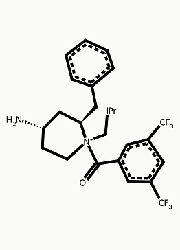 CC(C)C[N+]1(C(=O)c2cc(C(F)(F)F)cc(C(F)(F)F)c2)CC[C@H](N)C[C@H]1Cc1ccccc1